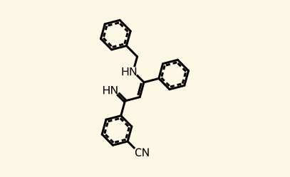 N#Cc1cccc(C(=N)/C=C(\NCc2ccccc2)c2ccccc2)c1